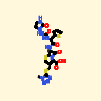 Cn1nnnc1SCC1=C(C(=O)O)N2C(=O)[C@H](NC(=O)C(NC(=O)NN3CCNC3=O)c3cccs3)C2SC1